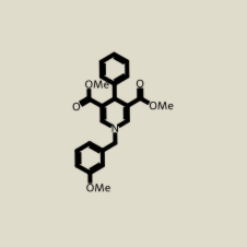 COC(=O)C1=CN(Cc2cccc(OC)c2)C=C(C(=O)OC)C1c1ccccc1